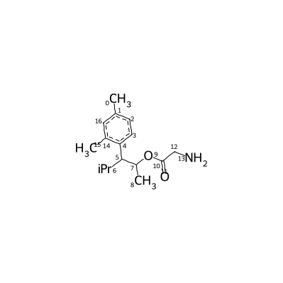 Cc1ccc(C(C(C)C)C(C)OC(=O)CN)c(C)c1